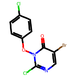 O=c1c(Br)cnc(Cl)n1Oc1ccc(Cl)cc1